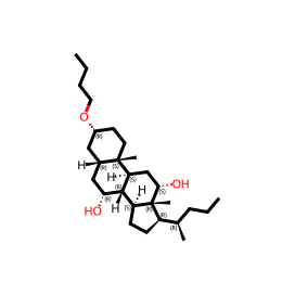 CCCCO[C@@H]1CC[C@@]2(C)[C@@H](C1)C[C@@H](O)[C@@H]1[C@@H]2C[C@H](O)[C@]2(C)[C@@H]([C@H](C)CCC)CC[C@@H]12